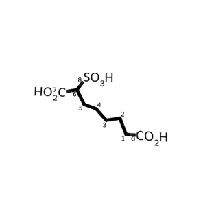 O=C(O)CCCCCC(C(=O)O)S(=O)(=O)O